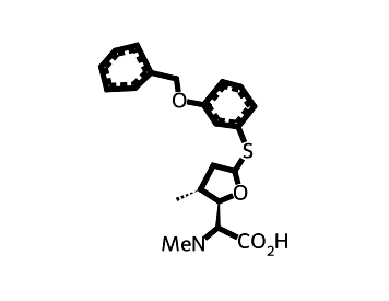 CNC(C(=O)O)[C@@H]1OC(Sc2cccc(OCc3ccccc3)c2)C[C@H]1C